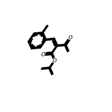 CC(=O)C(=Cc1ccccc1C)C(=O)OC(C)C